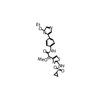 CCOc1cncc(-c2ccc(NC(=O)[C@H](OC)c3csc(NS(=O)(=O)C4CC4)n3)cc2)n1